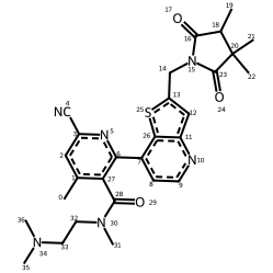 Cc1cc(C#N)nc(-c2ccnc3cc(CN4C(=O)C(C)C(C)(C)C4=O)sc23)c1C(=O)N(C)CCN(C)C